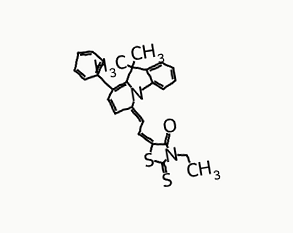 CCN1C(=O)C(=CC=C2C=CC(c3ccccc3)=C3N2c2ccccc2C3(C)C)SC1=S